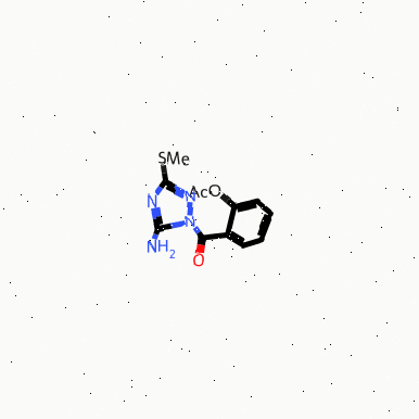 CSc1nc(N)n(C(=O)c2ccccc2OC(C)=O)n1